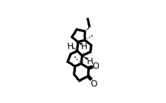 CC[C@H]1CC[C@H]2[C@@H]3CCC4CCC(=O)C(=O)[C@]4(C)[C@H]3CC[C@]12C